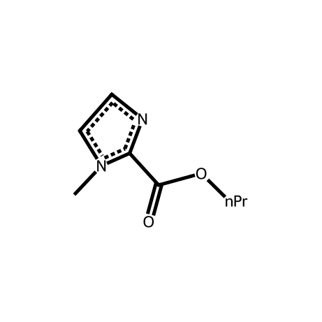 CCCOC(=O)c1nccn1C